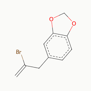 C=C(Br)Cc1ccc2c(c1)OCO2